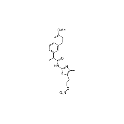 COc1ccc2cc([C@H](C)C(=O)Nc3nc(C)c(CCO[N+](=O)[O-])s3)ccc2c1